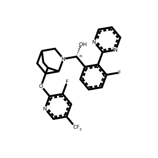 O[C@H](c1cccc(F)c1-c1ncccn1)N1CC2CCC1C(Oc1ncc(C(F)(F)F)cc1F)C2